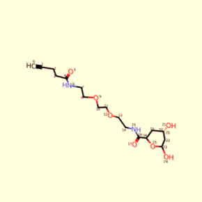 C#CCCC(=O)NCCOCCOCCNC(=O)C1C[C@H](O)CC(O)O1